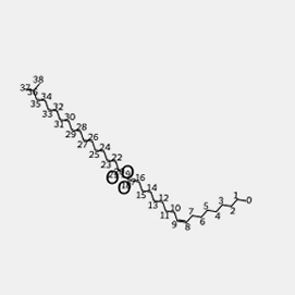 CCCCCCCC/C=C\CCCCCCCC(=O)OC(=O)CCCCCCCCCCCCCCC(C)C